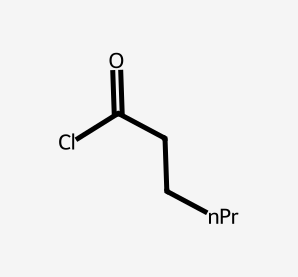 [CH2]CCCCC(=O)Cl